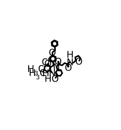 CC1(C)CC(=O)C2=C(C1)NC1=C(O)CCC=C1N(C(=O)CCC(=O)NCC1CCCO1)C2c1ccc(OCc2ccccc2)cc1Cl